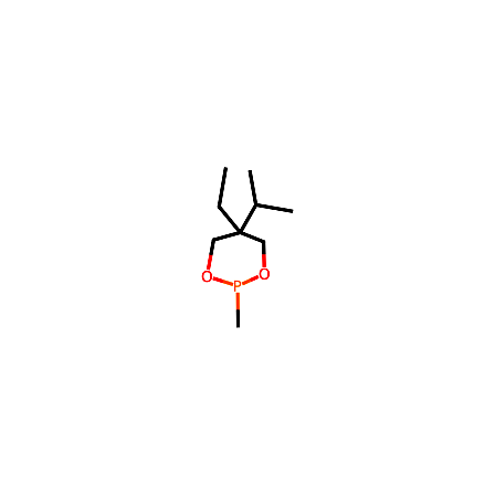 CCC1(C(C)C)COP(C)OC1